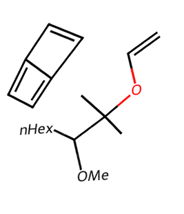 C=COC(C)(C)C(CCCCCC)OC.c1cc2ccc1-2